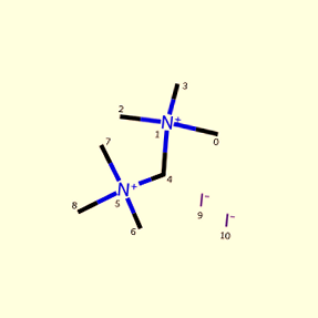 C[N+](C)(C)C[N+](C)(C)C.[I-].[I-]